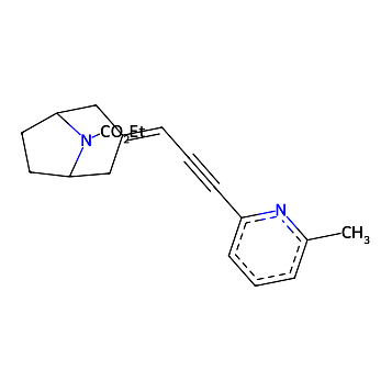 CCOC(=O)N1C2CCC1CC(=CC#Cc1cccc(C)n1)C2